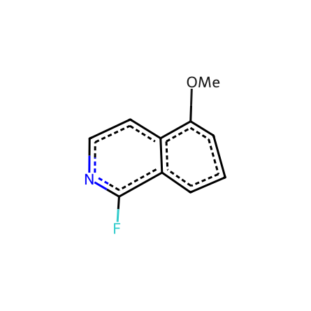 COc1cccc2c(F)nccc12